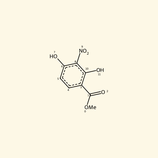 COC(=O)c1ccc(O)c([N+](=O)[O-])c1O